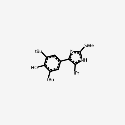 CSc1nc(-c2cc(C(C)(C)C)c(O)c(C(C)(C)C)c2)c(C(C)C)[nH]1